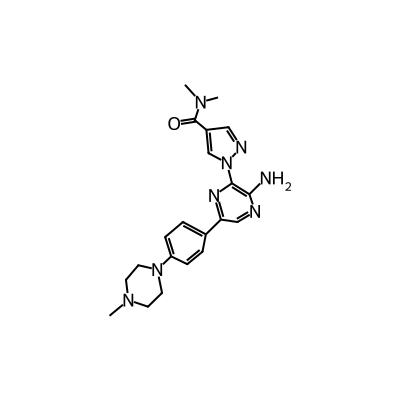 CN1CCN(c2ccc(-c3cnc(N)c(-n4cc(C(=O)N(C)C)cn4)n3)cc2)CC1